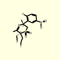 CC1=N[C@](C)(c2cc([N+](=O)[O-])ccc2F)CS(=O)(=O)[C@@]1(CF)CCI